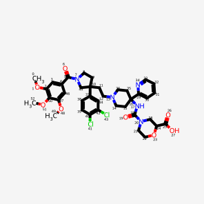 COc1cc(C(=O)N2CCC(CCN3CCC(NC(=O)N4CCOC(C(=O)O)C4)(c4ccccn4)CC3)(c3ccc(Cl)c(Cl)c3)C2)cc(OC)c1OC